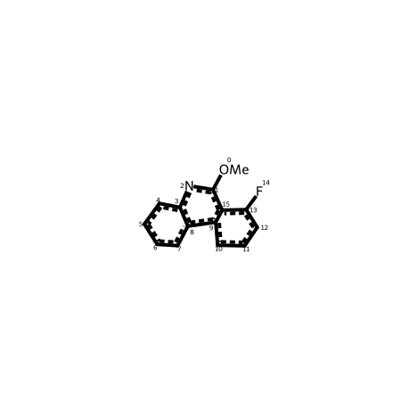 COc1nc2ccccc2c2cccc(F)c12